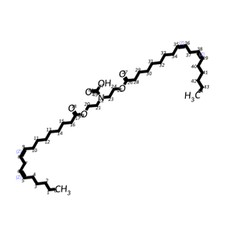 CCCCC/C=C\C/C=C\CCCCCCCC(=O)OCCN(CCOC(=O)CCCCCCC/C=C\C/C=C\CCCCC)C(=O)O